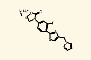 CC(=O)NC[C@H]1CN(c2ccc(-c3nc(Cn4cccn4)cs3)c(F)c2)C(=O)O1